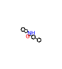 O=C(NC1Cc2ccccc2C1)c1ccc(-c2ccccc2)cc1